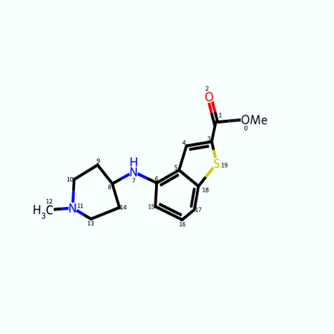 COC(=O)c1cc2c(NC3CCN(C)CC3)cccc2s1